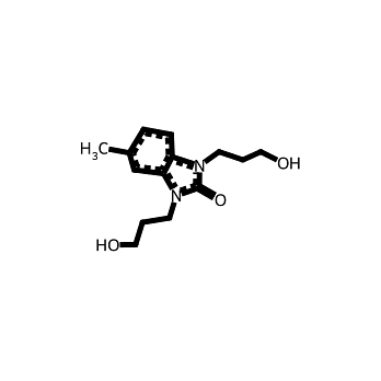 Cc1ccc2c(c1)n(CCCO)c(=O)n2CCCO